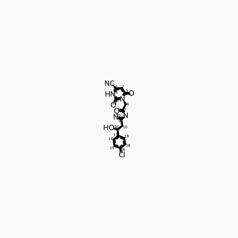 N#Cc1cc(=O)n(Cc2nc(CC(O)c3ccc(Cl)cc3)no2)c(=O)[nH]1